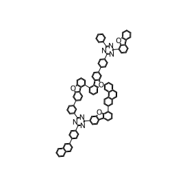 c1ccc(-c2nc(-c3ccc(-c4ccc5c(c4)oc4cccc(-c6cccc7oc8cc(-c9cccc(-c%10nc(-c%11ccc(-c%12ccc%13ccccc%13c%12)cc%11)nc(-c%11ccc%12c(c%11)oc%11c(-c%13ccc%14c(ccc%15ccccc%15%14)c%13)cccc%11%12)n%10)c9)ccc8c67)c45)cc3)nc(-c3cccc4c3oc3ccccc34)n2)cc1